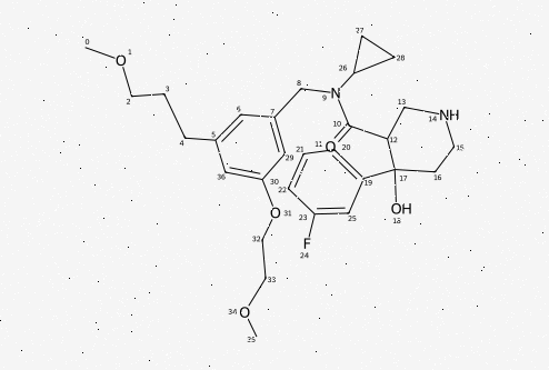 COCCCc1cc(CN(C(=O)C2CNCCC2(O)c2cccc(F)c2)C2CC2)cc(OCCOC)c1